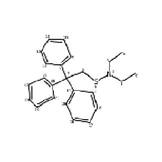 CCN(CC)SCC(c1ccccc1)(c1ccccc1)c1ccccc1